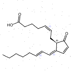 CCCCC/C=C/C=C1/C=CC(=O)[C@@H]1C/C=C\CCCC(=O)O